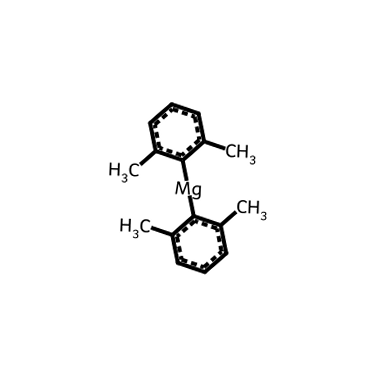 Cc1cccc(C)[c]1[Mg][c]1c(C)cccc1C